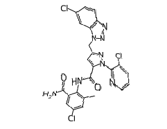 Cc1cc(Cl)cc(C(N)=O)c1NC(=O)c1cc(Cn2nnc3ccc(Cl)cc32)nn1-c1ncccc1Cl